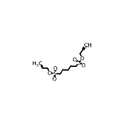 C#CCOS(=O)(=O)CCCCCS(=O)(=O)OCC=C